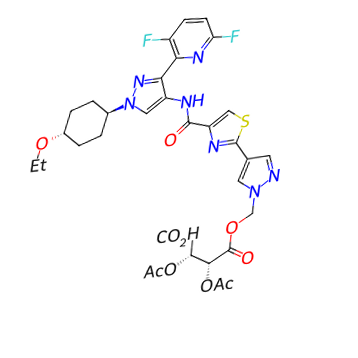 CCO[C@H]1CC[C@H](n2cc(NC(=O)c3csc(-c4cnn(COC(=O)[C@H](OC(C)=O)[C@H](OC(C)=O)C(=O)O)c4)n3)c(-c3nc(F)ccc3F)n2)CC1